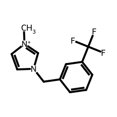 C[n+]1ccn(Cc2cccc(C(F)(F)F)c2)c1